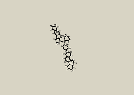 c1ccc(N(c2ccc(-c3ccc4c(ccc5c6ccccc6ccc45)c3)cc2)c2cccc3c2sc2cc4ccccc4cc23)cc1